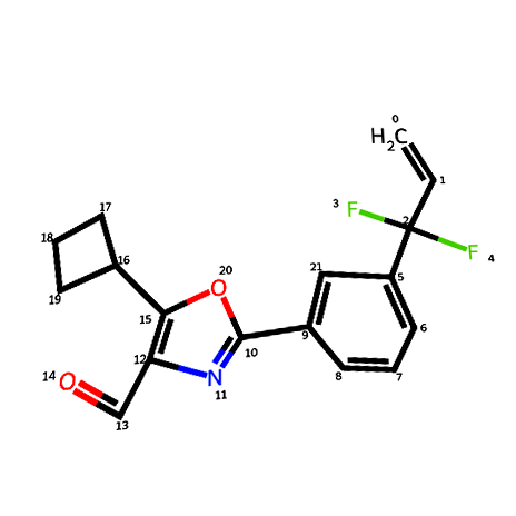 C=CC(F)(F)c1cccc(-c2nc(C=O)c(C3CCC3)o2)c1